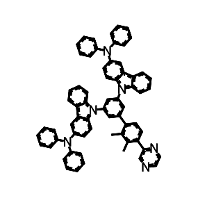 Cc1c(-c2cc(-n3c4ccccc4c4cc(N(c5ccccc5)c5ccccc5)ccc43)cc(-n3c4ccccc4c4cc(N(c5ccccc5)c5ccccc5)ccc43)c2)ccc(-c2cnccn2)c1C